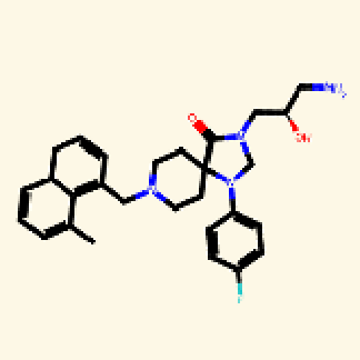 CC1=CC=CC2CC=CC(CN3CCC4(CC3)C(=O)N(C[C@H](O)CN)CN4c3ccc(F)cc3)=C12